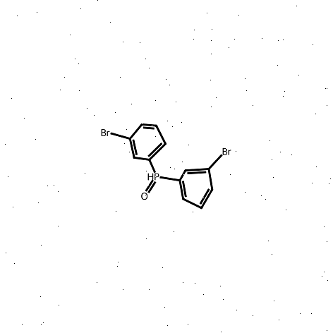 O=[PH](c1cccc(Br)c1)c1cccc(Br)c1